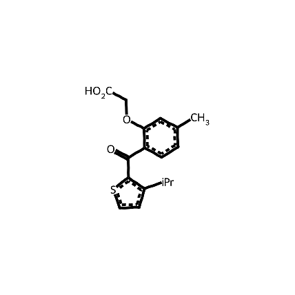 Cc1ccc(C(=O)c2sccc2C(C)C)c(OCC(=O)O)c1